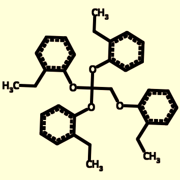 CCc1ccccc1OCC(Oc1ccccc1CC)(Oc1ccccc1CC)Oc1ccccc1CC